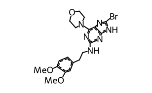 COc1ccc(CCNc2nc(N3CCOCC3)c3nc(Br)[nH]c3n2)cc1OC